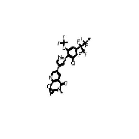 CN(C(=O)c1cc(-c2cnn(-c3c(Cl)cc(C(F)(C(F)(F)F)C(F)(F)F)cc3OC(F)(F)F)c2)cnc1Cl)C1CC1